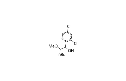 CCCCC(OC)C(O)c1ccc(Cl)cc1Cl